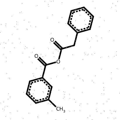 Cc1cccc(C(=O)OC(=O)Cc2ccccc2)c1